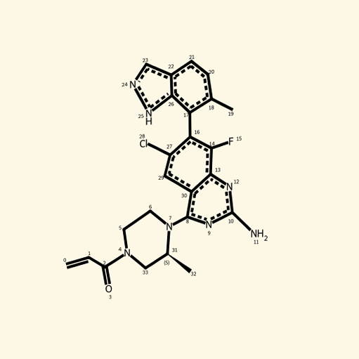 C=CC(=O)N1CCN(c2nc(N)nc3c(F)c(-c4c(C)ccc5cn[nH]c45)c(Cl)cc23)[C@@H](C)C1